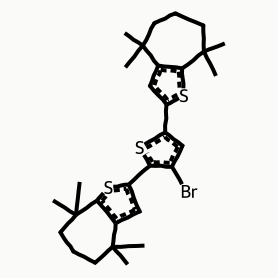 CC1(C)CCCC(C)(C)c2sc(-c3cc(Br)c(-c4cc5c(s4)C(C)(C)CCCC5(C)C)s3)cc21